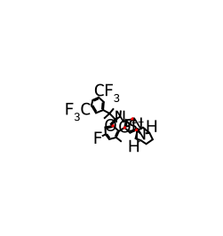 Cc1cc(F)ccc1-c1cc(N2[C@@H]3CC[C@H]2C[C@@H]([S+](C)[O-])C3)ncc1N(C)C(=O)C(C)(C)c1cc(C(F)(F)F)cc(C(F)(F)F)c1